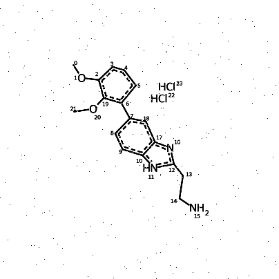 COc1cccc(-c2ccc3[nH]c(CCN)nc3c2)c1OC.Cl.Cl